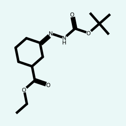 CCOC(=O)C1CCC/C(=N/NC(=O)OC(C)(C)C)C1